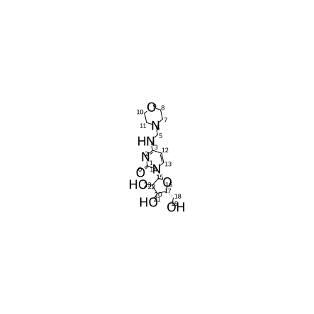 O=c1nc(NCN2CCOCC2)ccn1[C@@H]1O[C@H](CO)C(O)C1O